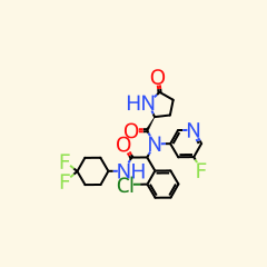 O=C1CC[C@@H](C(=O)N(c2cncc(F)c2)C(C(=O)NC2CCC(F)(F)CC2)c2ccccc2Cl)N1